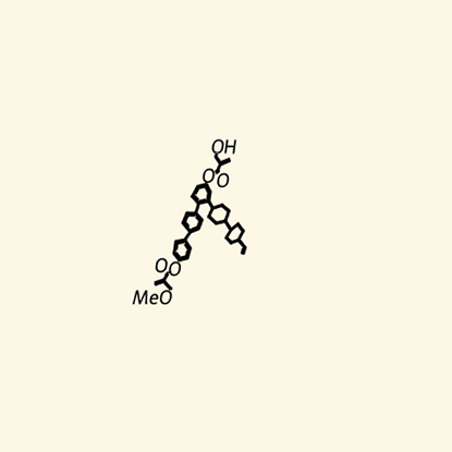 C=CC1CCC(C2CCC(c3cc(OC(=O)C(=C)CO)ccc3-c3ccc(-c4ccc(OC(=O)C(=C)COC)cc4)cc3)CC2)CC1